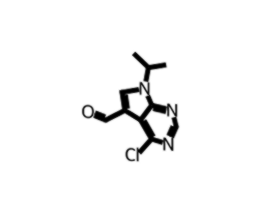 CC(C)n1cc(C=O)c2c(Cl)ncnc21